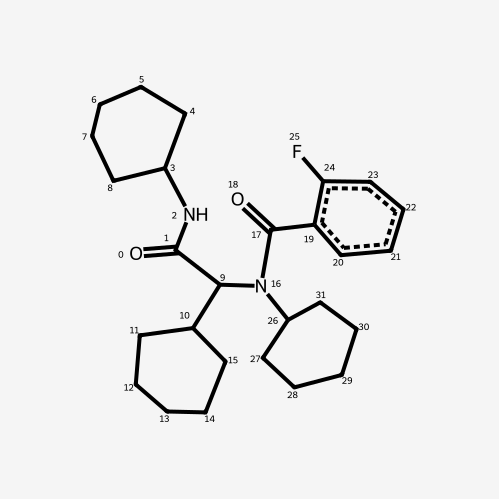 O=C(NC1CCCCC1)C(C1CCCCC1)N(C(=O)c1ccccc1F)C1CCCCC1